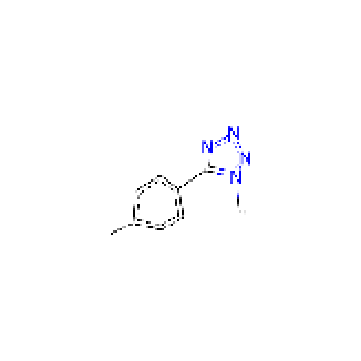 [CH2]n1nnnc1-c1ccc(C)cc1